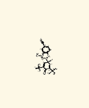 CC1(N=Nc2ccc(C#N)cc2[N+](=O)[O-])C=C(C(C)(C)C)C(=O)C(C(C)(C)C)=C1